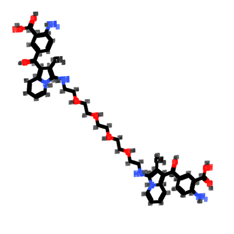 Cc1c(C(=O)c2ccc(N)c(C(=O)O)c2)c2ccccn2c1NCCOCCOCCOCCOCCNc1c(C)c(C(=O)c2ccc(N)c(C(=O)O)c2)c2ccccn12